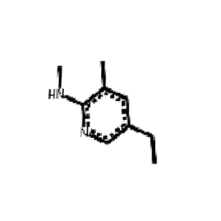 CCc1cnc(NC)c(C)c1